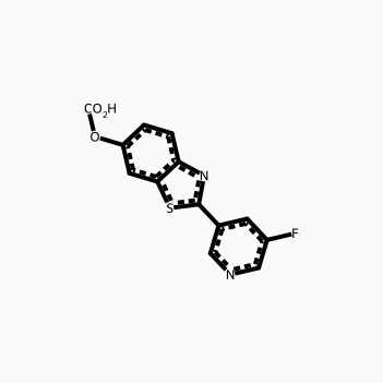 O=C(O)Oc1ccc2nc(-c3cncc(F)c3)sc2c1